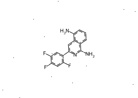 Nc1cccc2c(N)nc(-c3cc(F)c(F)cc3F)cc12